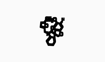 COc1cc2c(cc1F)OCC21C(=O)N(Cc2ccc(C(F)(F)F)o2)c2ccccc21